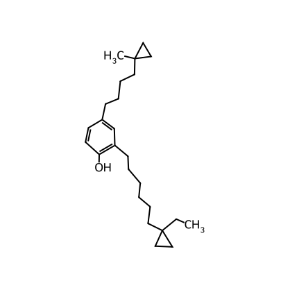 CCC1(CCCCCCc2cc(CCCCC3(C)CC3)ccc2O)CC1